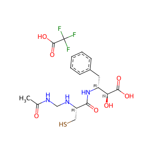 CC(=O)NCN[C@@H](CS)C(=O)N[C@H](Cc1ccccc1)[C@H](O)C(=O)O.O=C(O)C(F)(F)F